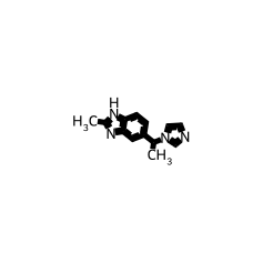 Cc1nc2cc(C(C)n3ccnc3)ccc2[nH]1